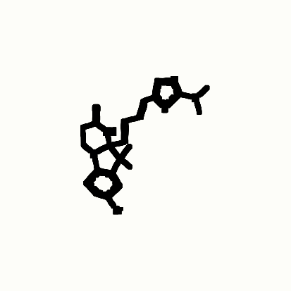 CN(C)c1ncc(/C=C/C=C/C23NC(=O)CCN2c2ccc(Br)cc2C3(C)C)s1